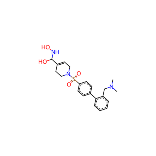 CN(C)Cc1ccccc1-c1ccc(S(=O)(=O)N2CC=C(C(O)NO)CC2)cc1